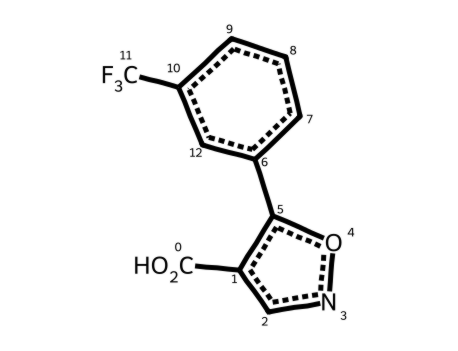 O=C(O)c1cnoc1-c1cccc(C(F)(F)F)c1